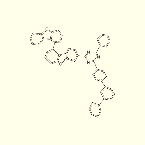 c1ccc(-c2cccc(-c3ccc(-c4nc(-c5ccccc5)nc(-c5ccc6c(c5)oc5cccc(-c7cccc8oc9ccccc9c78)c56)n4)cc3)c2)cc1